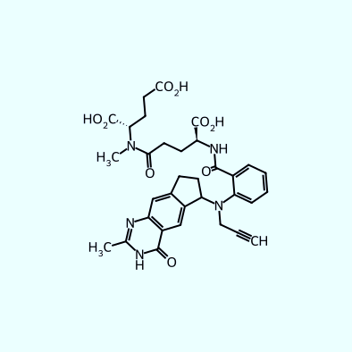 C#CCN(c1ccccc1C(=O)N[C@@H](CCC(=O)N(C)[C@@H](CCC(=O)O)C(=O)O)C(=O)O)C1CCc2cc3nc(C)[nH]c(=O)c3cc21